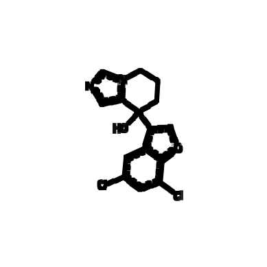 OC1(c2coc3c(Cl)cc(Cl)cc23)CCCn2cncc21